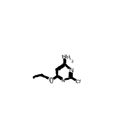 CCOc1cc(N)nc(Cl)n1